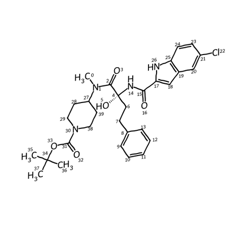 CN(C(=O)[C@](O)(CCc1ccccc1)NC(=O)c1cc2cc(Cl)ccc2[nH]1)C1CCN(C(=O)OC(C)(C)C)CC1